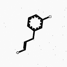 [O]C=CCc1cccc(Cl)c1